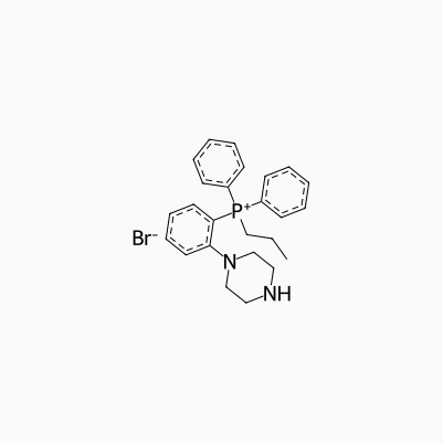 CCC[P+](c1ccccc1)(c1ccccc1)c1ccccc1N1CCNCC1.[Br-]